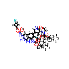 Cc1c(-c2cc3cc(NC(=O)OC4CC(F)C4)ncc3c(NC(=O)OC(C)(C)C)c2F)cnc2c1N(C(=O)OC(C)(C)C)CCO2